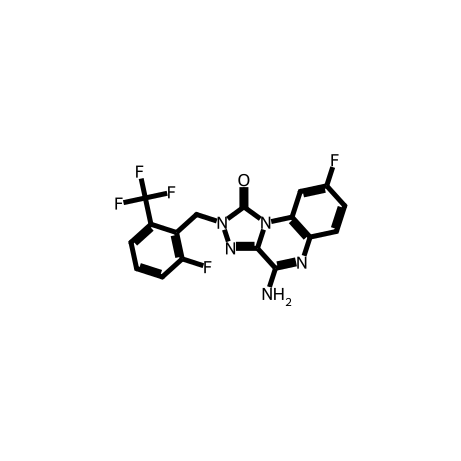 Nc1nc2ccc(F)cc2n2c(=O)n(Cc3c(F)cccc3C(F)(F)F)nc12